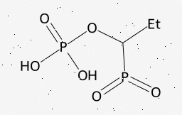 CCC(OP(=O)(O)O)P(=O)=O